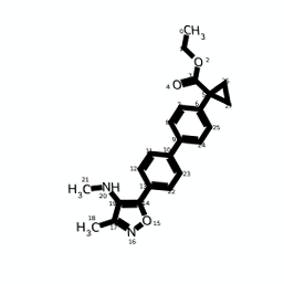 CCOC(=O)C1(c2ccc(-c3ccc(-c4onc(C)c4NC)cc3)cc2)CC1